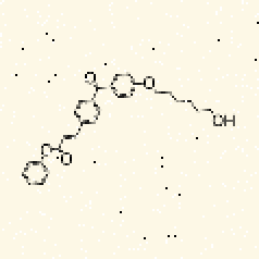 O=C(C=Cc1ccc(C(=O)c2ccc(OCCCCCCO)cc2)cc1)Oc1ccccc1